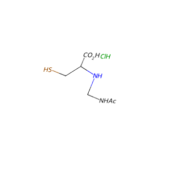 CC(=O)NCNC(CS)C(=O)O.Cl